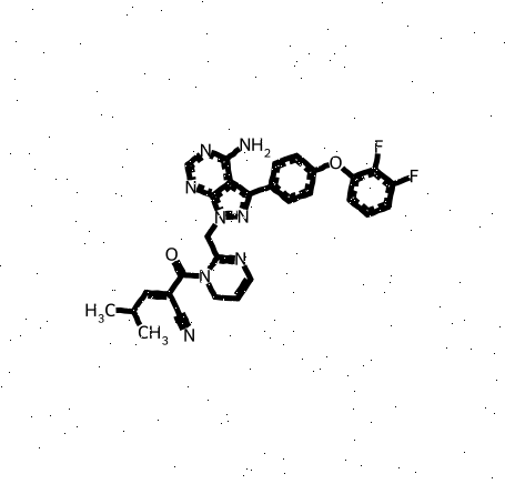 CC(C)C=C(C#N)C(=O)N1CC=CN=C1Cn1nc(-c2ccc(Oc3cccc(F)c3F)cc2)c2c(N)ncnc21